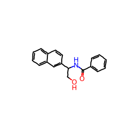 O=C(NC(CO)c1ccc2ccccc2c1)c1ccccc1